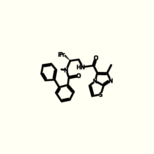 Cc1nc2sccn2c1C(=O)NC[C@@H](C(C)C)N(C)C(=O)c1ccccc1-c1ccccc1